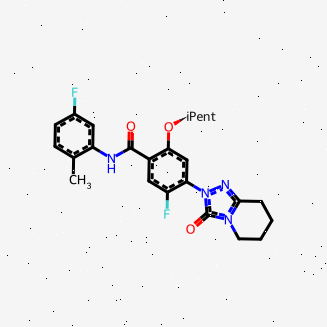 CCC[C@H](C)Oc1cc(-n2nc3n(c2=O)CCCC3)c(F)cc1C(=O)Nc1cc(F)ccc1C